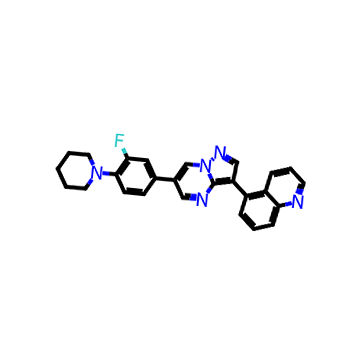 Fc1cc(-c2cnc3c(-c4cccc5ncccc45)cnn3c2)ccc1N1CCCCC1